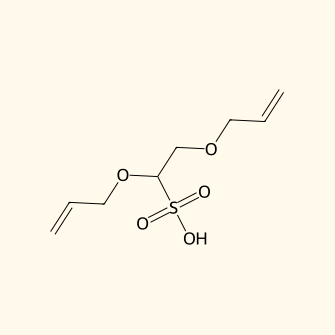 C=CCOCC(OCC=C)S(=O)(=O)O